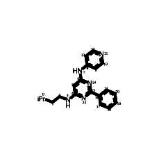 CC(C)CCNc1cc(Nc2ccncc2)nc(-c2ccccc2)n1